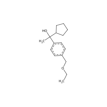 CCOCc1ccc(C(C)(O)C2CCCC2)cc1